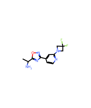 CC(N)c1nc(-c2ccnc(N3CC(F)(F)C3)c2)no1